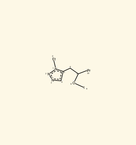 CCn1nncc1CC(OI)C(C)C